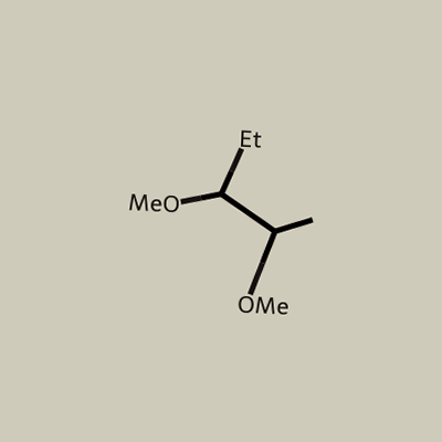 [CH2]CC(OC)C(C)OC